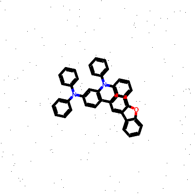 c1ccc(N(c2ccccc2)c2ccc(-c3ccc4oc5ccccc5c4c3)c(N(c3ccccc3)c3ccccc3)c2)cc1